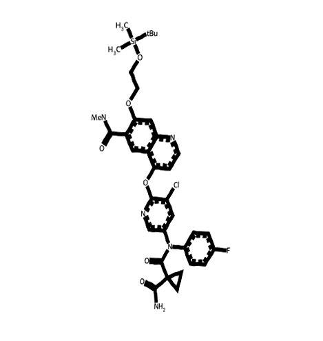 CNC(=O)c1cc2c(Oc3ncc(N(C(=O)C4(C(N)=O)CC4)c4ccc(F)cc4)cc3Cl)ccnc2cc1OCCO[Si](C)(C)C(C)(C)C